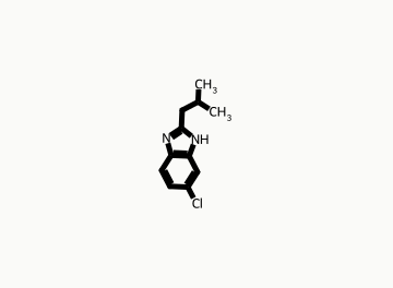 CC(C)Cc1nc2ccc(Cl)cc2[nH]1